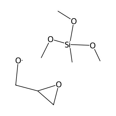 CO[Si](C)(OC)OC.[O]CC1CO1